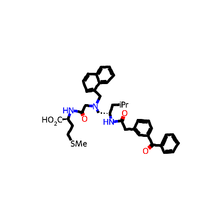 CSCC[C@H](NC(=O)CN(Cc1cccc2ccccc12)C[C@H](CC(C)C)NC(=O)Cc1cccc(C(=O)c2ccccc2)c1)C(=O)O